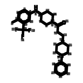 Cc1ccc(NC2CCN(C(=O)CCN3CCN(c4ccccc4)CC3)CC2)cc1C(F)(F)F